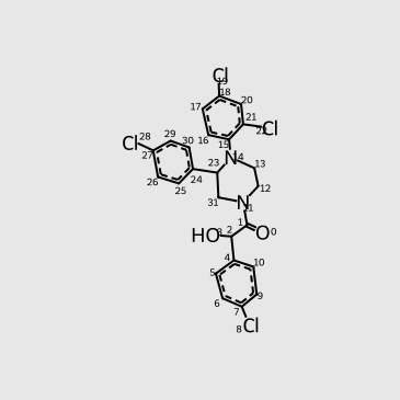 O=C(C(O)c1ccc(Cl)cc1)N1CCN(c2ccc(Cl)cc2Cl)C(c2ccc(Cl)cc2)C1